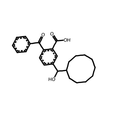 O=C(O)c1cc(C(O)C2CCCCCCCCC2)ccc1C(=O)c1ccccc1